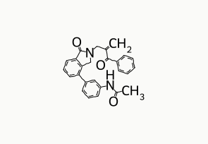 C=C(CN1Cc2c(cccc2-c2cccc(NC(C)=O)c2)C1=O)C(=O)c1ccccc1